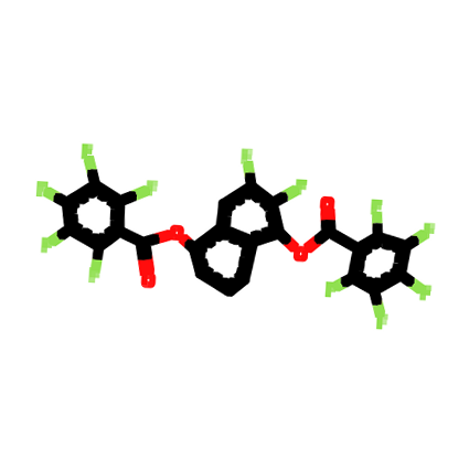 O=C(Oc1cccc2c(OC(=O)c3c(F)c(F)c(F)c(F)c3F)c(F)c(F)cc12)c1c(F)c(F)c(F)c(F)c1F